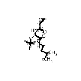 CC(C)CCNC(=O)[C@H](CC(F)(F)F)NC(=O)[C@@H]1CO1